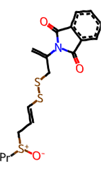 C=C(CSS/C=C/C[S+]([O-])CCC)N1C(=O)c2ccccc2C1=O